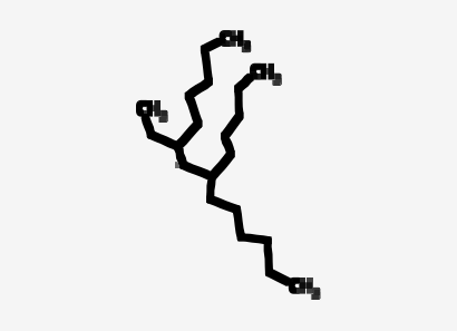 CCCCCCC([CH]C(CC)CCCCC)CCCCC